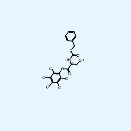 O=C(N[C@@H](CO)C(=O)Oc1c(Cl)c(Cl)c(Cl)c(Cl)c1Cl)OCc1ccccc1